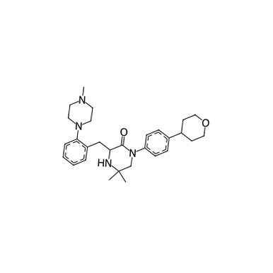 CN1CCN(c2ccccc2CC2NC(C)(C)CN(c3ccc(C4CCOCC4)cc3)C2=O)CC1